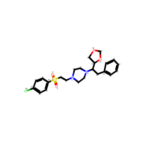 O=S(=O)(CCN1CCN(C(Cc2ccccc2)C2COCO2)CC1)c1ccc(Cl)cc1